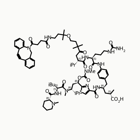 CC[C@H](C)[C@H](NC(=O)[C@H]1CCCCN1C)C(=O)N(C)[C@H](C[C@@H](OC(=O)NC)c1nc(C(=O)N[C@@H](Cc2ccc(NC(=O)[C@H](CCCNC(N)=O)NC(=O)[C@@H](CC(=O)C(C)(C)CCOC(C)(C)CCNC(=O)CCC(=O)N3Cc4ccccc4C#Cc4ccccc43)C(C)C)cc2)C[C@H](C)C(=O)O)cs1)C(C)C